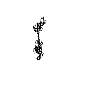 Nc1ncnc2c1c(-c1ccc(Oc3ccccc3)cc1)nn2[C@@H]1CCCN(C(=O)CCCCCCSc2ccc(F)c3c2C(=O)N(C2CCC(=O)NC2=O)C3=O)C1